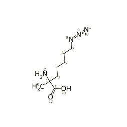 CC(N)(CCCCCN=[N+]=[N-])C(=O)O